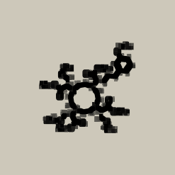 CCCCOc1cccc(CCC[C@@H](C(=O)OC)N2CCN([C@@H](COC(C)(C)C)C(=O)OC)CCN([C@@H](COC(C)(C)C)C(=O)OC)CCN([C@@H](COC(C)(C)C)C(=O)OC)CC2)c1